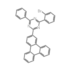 Brc1ccccc1-c1nc(-c2ccccc2)nc(-c2ccc3c4ccccc4c4ccccc4c3c2)n1